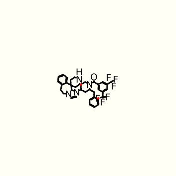 O=C(c1cc(C(F)(F)F)cc(C(F)(F)F)c1)N1CCC(N2C=CN3CCc4ccccc4C4(CCNCC4)C32)CC1Cc1ccccc1